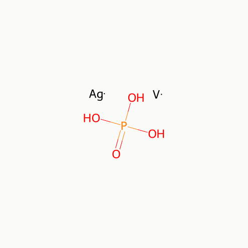 O=P(O)(O)O.[Ag].[V]